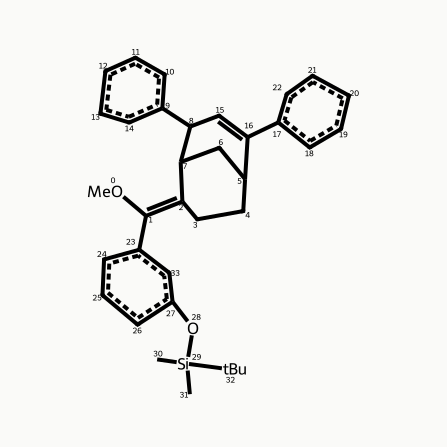 COC(=C1CCC2CC1C(c1ccccc1)C=C2c1ccccc1)c1cccc(O[Si](C)(C)C(C)(C)C)c1